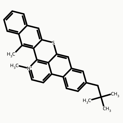 Cc1c2c(cc3ccccc13)Sc1cc3cc(CC(C)(C)C)ccc3c3cc[n+](C)c-2c13